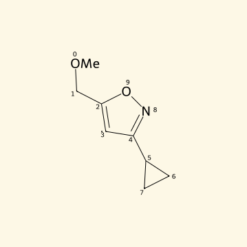 COCc1[c]c(C2CC2)no1